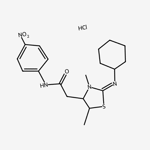 CC1SC(=NC2CCCCC2)N(C)C1CC(=O)Nc1ccc([N+](=O)[O-])cc1.Cl